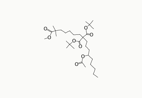 CCCCCC(CCCC(CCCCCC(C)(C)C(=O)OC)(C(=O)OC(C)(C)C)C(=O)OC(C)(C)C)OC(C)=O